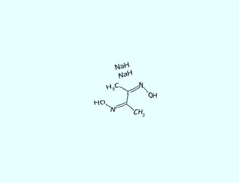 CC(=N/O)/C(C)=N\O.[NaH].[NaH]